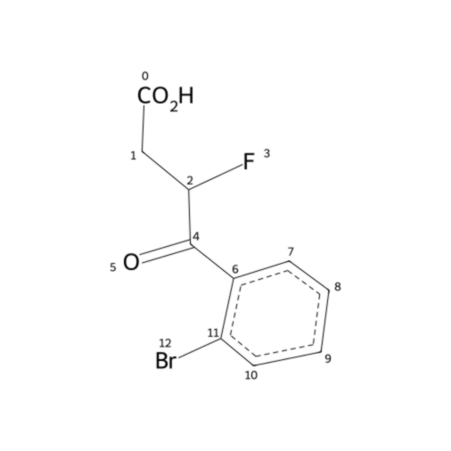 O=C(O)CC(F)C(=O)c1ccccc1Br